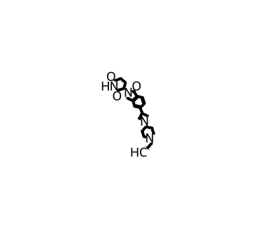 C#CCN1CCC(N2CC(c3ccc4c(c3)CN(C3CCC(=O)NC3=O)C4=O)C2)CC1